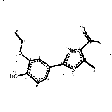 CCOc1cc(-c2nc(C(C)=O)c(C)s2)ccc1O